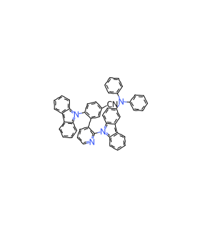 N#Cc1ccc(-n2c3ccccc3c3ccccc32)c(-c2cccnc2-n2c3ccccc3c3cc(N(c4ccccc4)c4ccccc4)ccc32)c1